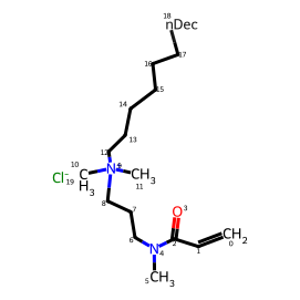 C=CC(=O)N(C)CCC[N+](C)(C)CCCCCCCCCCCCCCCC.[Cl-]